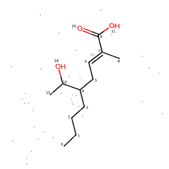 CCCCC(C/C=C(\C)C(=O)O)C(C)O